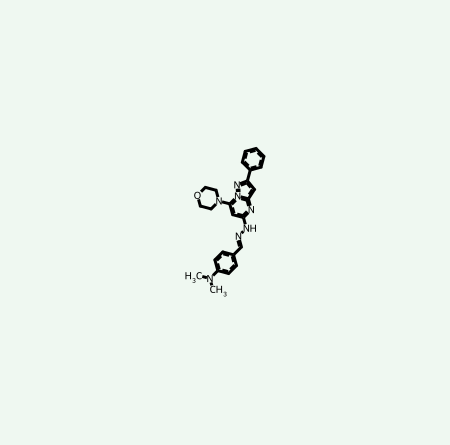 CN(C)c1ccc(C=NNc2cc(N3CCOCC3)n3nc(-c4ccccc4)cc3n2)cc1